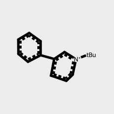 CC(C)(C)[n+]1cccc(-c2ccccc2)c1